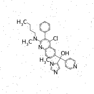 CCCCN(C)c1nc2ccc(C(O)(c3ccncc3)c3cncn3C)cc2c(Cl)c1-c1ccccc1